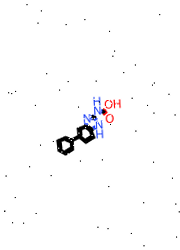 O=C(O)Nc1nc2cc(-c3ccccc3)ccc2[nH]1